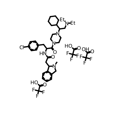 CCN(CC)CC(C1CCCCC1)N1CCN(C(=O)C(Cc2ccc(Cl)cc2)NC(=O)CC2c3ccccc3CN2C)CC1.O=C(O)C(F)(F)F.O=C(O)C(F)(F)F.O=C(O)C(F)(F)F